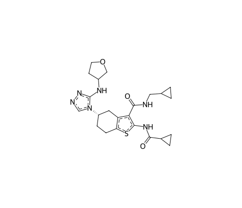 O=C(NCC1CC1)c1c(NC(=O)C2CC2)sc2c1C[C@@H](n1cnnc1NC1CCOC1)CC2